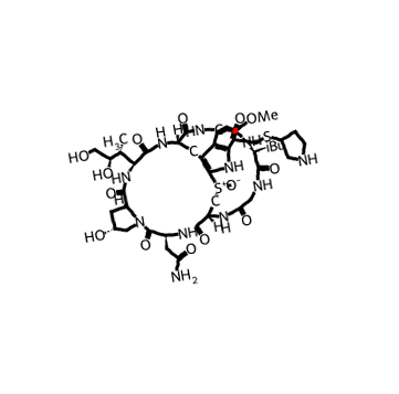 CC[C@H](C)[C@@H]1NC(=O)CNC(=O)[C@@H]2Cc3c([nH]c4c(CSC5CCNC5)c(OC)ccc34)[S+]([O-])C[C@H](NC(=O)CNC1=O)C(=O)N[C@@H](CC(N)=O)C(=O)N1C[C@H](O)C[C@@H]1C(=O)N[C@@H]([C@@H](C)[C@@H](O)CO)C(=O)N2